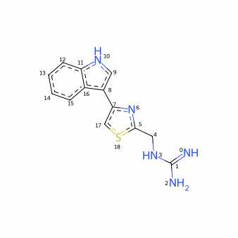 N=C(N)NCc1nc(-c2c[nH]c3ccccc23)cs1